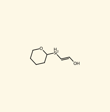 OC=C[SiH2]C1CCCCO1